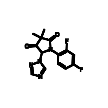 CC1(C)C(=O)C(n2cncn2)N(c2ccc(F)cc2F)C1=O